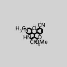 COC(=O)C1=C(C)NC2=C(C(=O)CN(C)C2)C1c1cccc(C#N)c1